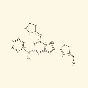 CC(=O)OC[C@@H]1CSC(c2cc3cc(C(N)c4ccccc4)cc(NC4CCCC4)c3[nH]2)=N1